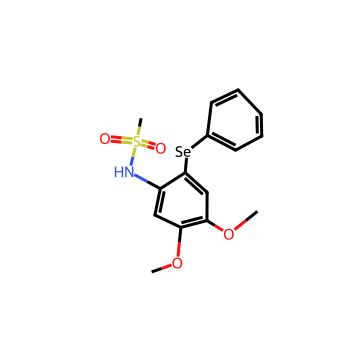 COc1cc(NS(C)(=O)=O)c([Se]c2ccccc2)cc1OC